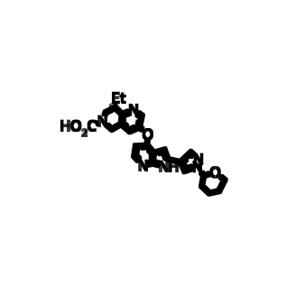 CC[C@H]1CN(C(=O)O)Cc2cc(Oc3ccnc4[nH]c(-c5cnn(C6CCCCO6)c5)cc34)cnc21